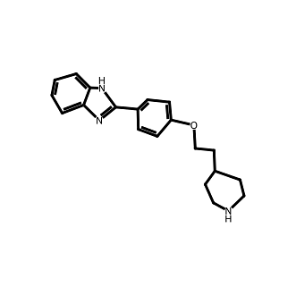 c1ccc2[nH]c(-c3ccc(OCCC4CCNCC4)cc3)nc2c1